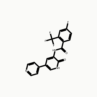 O=C(Nc1cc(-c2ccncc2)c[nH]c1=O)c1ccc(F)cc1C(F)(F)F